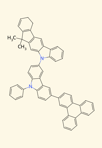 CC1(C)C2=C(CCC=C2)c2cc3c4ccccc4n(-c4ccc5c(c4)c4cc(-c6ccc7c8ccccc8c8ccccc8c7c6)ccc4n5-c4ccccc4)c3cc21